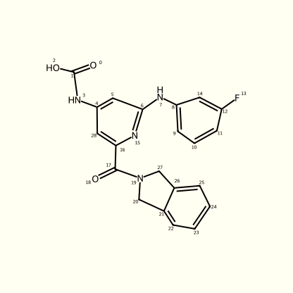 O=C(O)Nc1cc(Nc2cccc(F)c2)nc(C(=O)N2Cc3ccccc3C2)c1